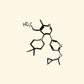 Cc1ncc(-c2ccc(OC(C)C3CC3)nc2)c(N2CCC(C)(C)CC2)c1CC(=O)O